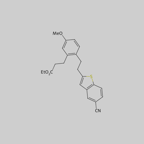 CCOC(=O)CCc1cc(OC)ccc1CCc1cc2cc(C#N)ccc2s1